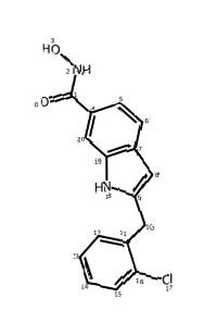 O=C(NO)c1ccc2cc(Cc3ccccc3Cl)[nH]c2c1